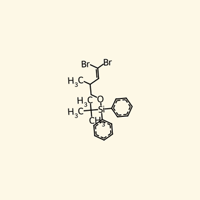 CC(C=C(Br)Br)CO[Si](c1ccccc1)(c1ccccc1)C(C)(C)C